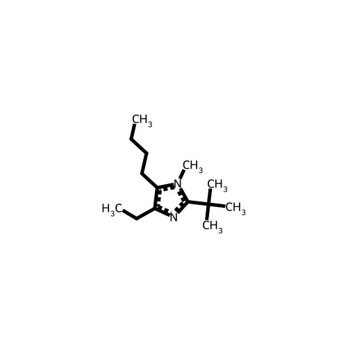 CCCCc1c(CC)nc(C(C)(C)C)n1C